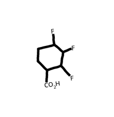 O=C(O)C1CCC(F)C(F)C1F